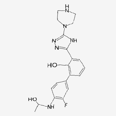 CC(O)Nc1ccc(-c2cccc(-c3nnc(N4CCNCC4)[nH]3)c2O)cc1F